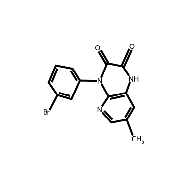 Cc1cnc2c(c1)[nH]c(=O)c(=O)n2-c1cccc(Br)c1